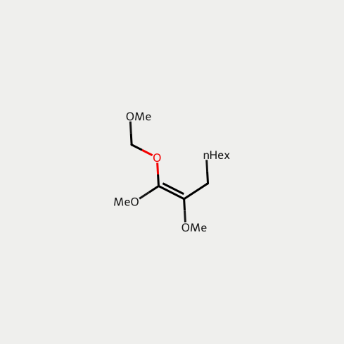 CCCCCCCC(OC)=C(OC)OCOC